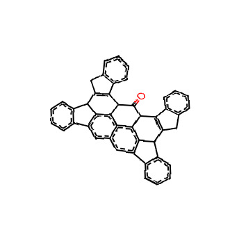 O=C1C2C3=C(Cc4ccccc43)C3c4ccccc4-c4cc5cc6c7c(c5c2c43)C1C1=C(Cc2ccccc21)C7c1ccccc1-6